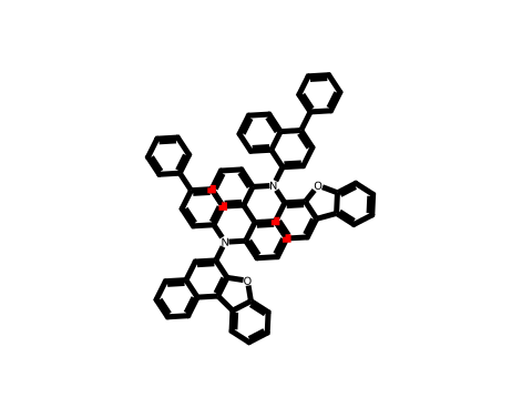 c1ccc(-c2ccc(N(c3ccccc3-c3ccccc3N(c3ccc(-c4ccccc4)c4ccccc34)c3cccc4c3oc3ccccc34)c3cc4ccccc4c4c3oc3ccccc34)cc2)cc1